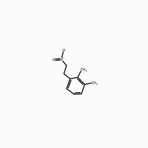 Cc1cccc(CC[N+](=O)[O-])c1C